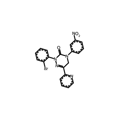 O=C1N(c2cccc([N+](=O)[O-])c2)CC(c2ccccn2)=NN1c1ccccc1Br